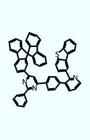 c1ccc(-c2nc(-c3ccc(-c4cccnc4-c4ccc5sc6ccccc6c5c4)cc3)cc(-c3ccc4c(c3)C3(c5ccccc5-c5ccccc53)c3ccccc3-4)n2)cc1